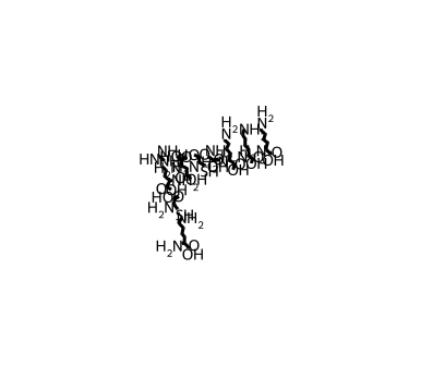 N=C(N)NCCCC(N)C(=O)O.NC(CC(=O)O)C(=O)O.NC(CS)C(=O)O.NC(CS)C(=O)O.NCC(=O)O.NCCCCC(N)C(=O)O.NCCCCC(N)C(=O)O.NCCCCC(N)C(=O)O.NCCCCC(N)C(=O)O